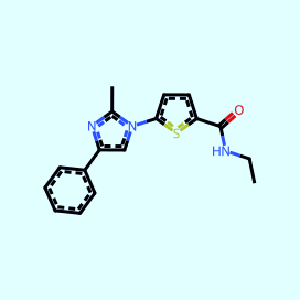 CCNC(=O)c1ccc(-n2cc(-c3ccccc3)nc2C)s1